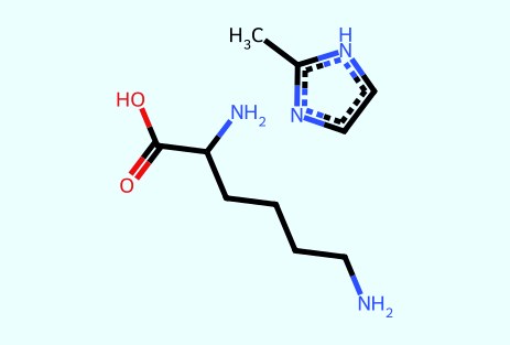 Cc1ncc[nH]1.NCCCCC(N)C(=O)O